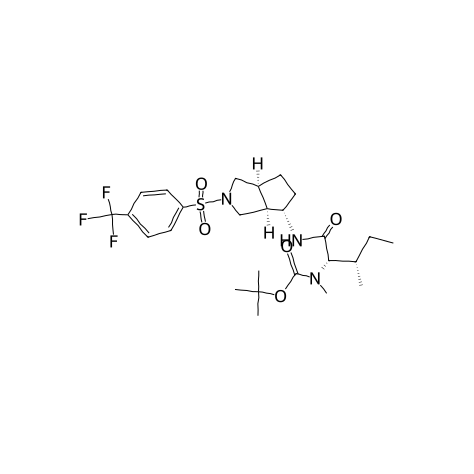 CC[C@H](C)[C@@H](C(=O)N[C@H]1CC[C@@H]2CN(S(=O)(=O)c3ccc(C(F)(F)F)cc3)C[C@@H]21)N(C)C(=O)OC(C)(C)C